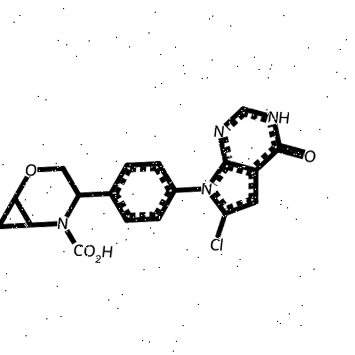 O=C(O)N1C(c2ccc(-n3c(Cl)cc4c(=O)[nH]cnc43)cc2)COC2CC21